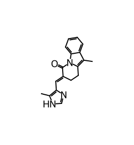 Cc1[nH]cnc1/C=C1\CCc2c(C)c3ccccc3n2C1=O